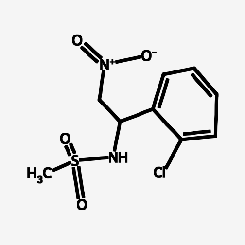 CS(=O)(=O)NC(C[N+](=O)[O-])c1ccccc1Cl